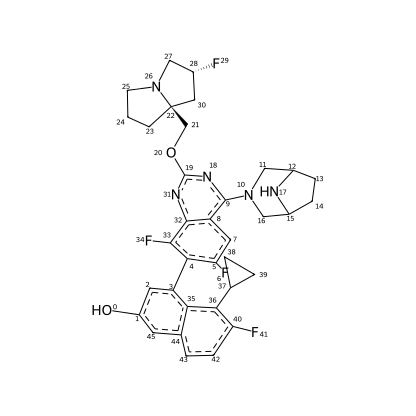 Oc1cc(-c2c(F)cc3c(N4CC5CCC(C4)N5)nc(OC[C@@]45CCCN4C[C@H](F)C5)nc3c2F)c2c(C3CC3)c(F)ccc2c1